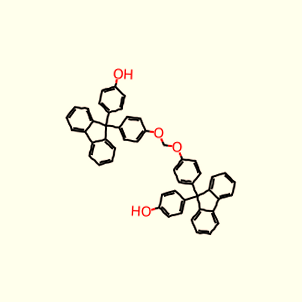 Oc1ccc(C2(c3ccc(OCOc4ccc(C5(c6ccc(O)cc6)c6ccccc6-c6ccccc65)cc4)cc3)c3ccccc3-c3ccccc32)cc1